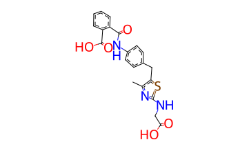 Cc1nc(NCC(=O)O)sc1Cc1ccc(NC(=O)c2ccccc2C(=O)O)cc1